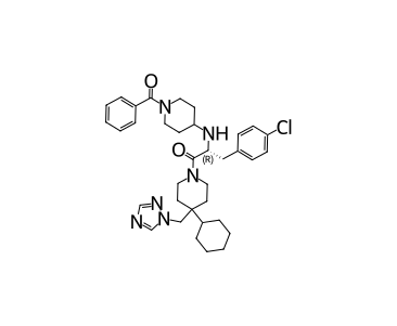 O=C(c1ccccc1)N1CCC(N[C@H](Cc2ccc(Cl)cc2)C(=O)N2CCC(Cn3cncn3)(C3CCCCC3)CC2)CC1